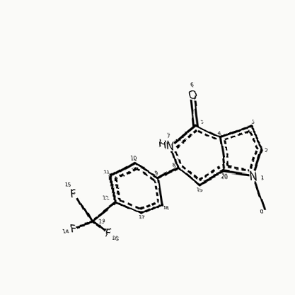 Cn1ccc2c(=O)[nH]c(-c3ccc(C(F)(F)F)cc3)cc21